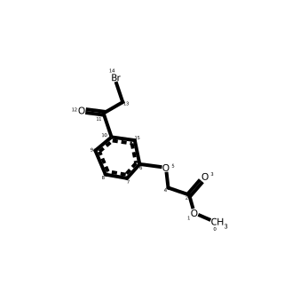 COC(=O)COc1cccc(C(=O)CBr)c1